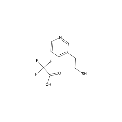 O=C(O)C(F)(F)F.SCCc1cccnc1